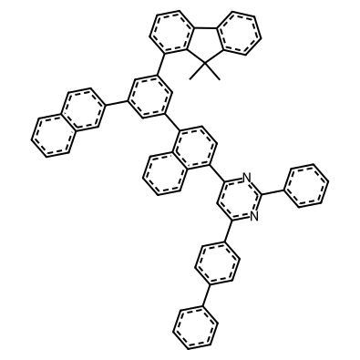 CC1(C)c2ccccc2-c2cccc(-c3cc(-c4ccc5ccccc5c4)cc(-c4ccc(-c5cc(-c6ccc(-c7ccccc7)cc6)nc(-c6ccccc6)n5)c5ccccc45)c3)c21